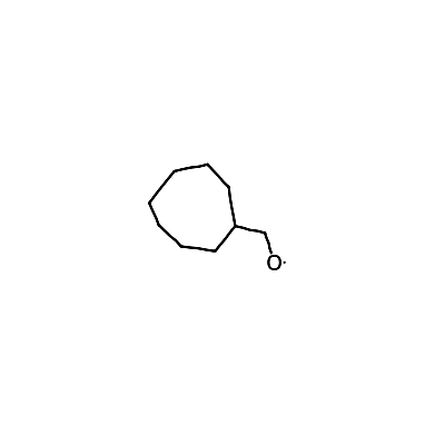 [O]CC1CCCCCCC1